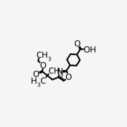 CCOC(=O)C(C)(C)Cc1coc(C2CCC(C(=O)O)CC2)n1